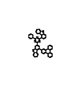 c1ccc(-c2nc(-c3cc(-c4ccc5c6ccccc6c6ccccc6c5c4)c4c(c3)sc3ccccc34)nc(-c3cccc4sc5ccccc5c34)n2)cc1